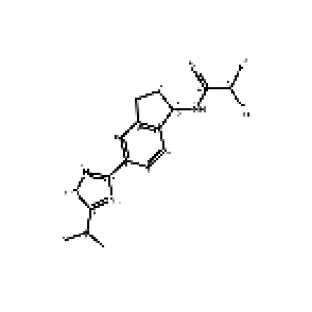 CC(C)c1nc(-c2ccc3c(c2)CC[C@H]3NC(=O)C(F)F)no1